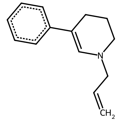 C=CCN1C=C(c2ccccc2)CCC1